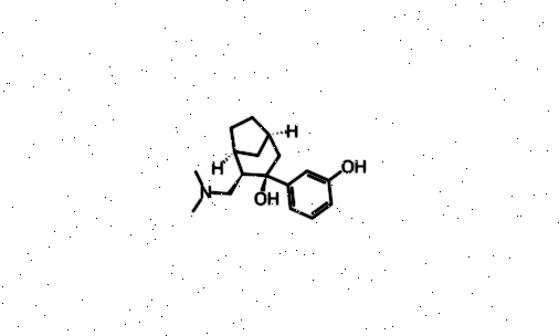 CN(C)C[C@H]1[C@H]2CC[C@H](C2)C[C@]1(O)c1cccc(O)c1